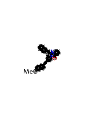 COc1ccc2cc(C#Cc3ccc(-n4c(/C=C/c5ccc6ccccc6c5)nc5ccccc5c4=O)c(C)c3)ccc2c1